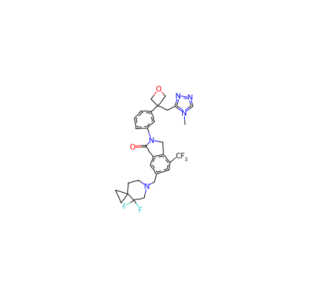 Cn1cnnc1CC1(c2cccc(N3Cc4c(cc(CN5CCC6(CC6)C(F)(F)C5)cc4C(F)(F)F)C3=O)c2)COC1